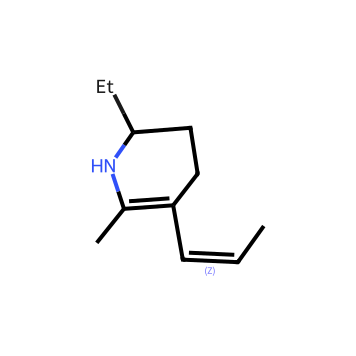 C/C=C\C1=C(C)NC(CC)CC1